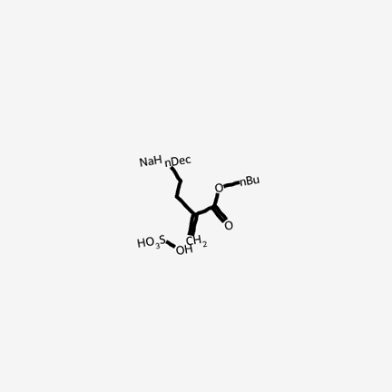 C=C(CCCCCCCCCCCC)C(=O)OCCCC.O=S(=O)(O)O.[NaH]